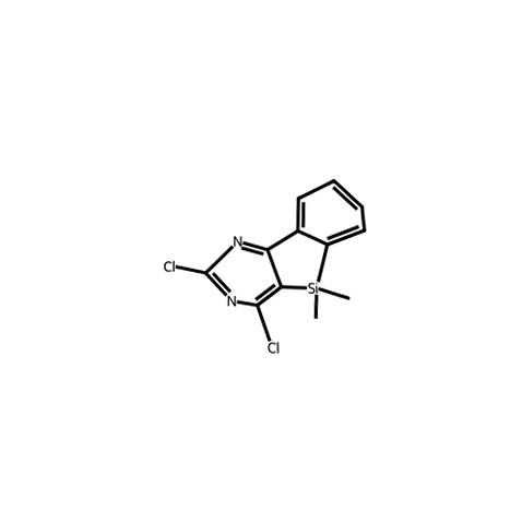 C[Si]1(C)c2ccccc2-c2nc(Cl)nc(Cl)c21